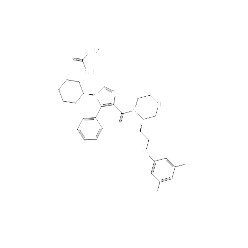 COC(=O)N[C@H]1CCCC[C@@H]1n1cnc(C(=O)N2CCNC[C@H]2CCOc2cc(F)cc(C(F)(F)F)c2)c1-c1ccccc1